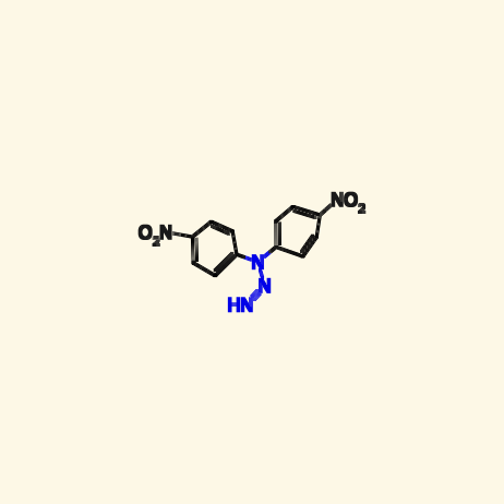 N=NN(c1ccc([N+](=O)[O-])cc1)c1ccc([N+](=O)[O-])cc1